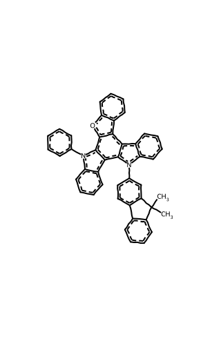 CC1(C)c2ccccc2-c2ccc(-n3c4ccccc4c4c5c6ccccc6oc5c5c(c6ccccc6n5-c5ccccc5)c43)cc21